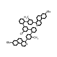 Cc1cc(-c2nccc3c2ccc2cc(C(C)(C)C)ccc23)ccc1-c1ccccc1-c1cc(Cl)cc(-c2ccccc2-c2ccc(-c3nccc4c3ccc3cc(C(C)(C)C)ccc34)cc2C)c1